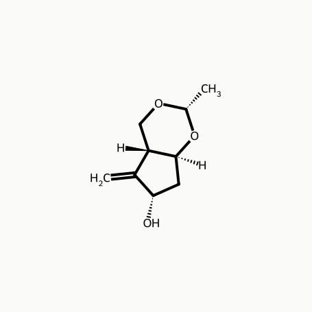 C=C1[C@@H](O)C[C@@H]2O[C@@H](C)OC[C@@H]12